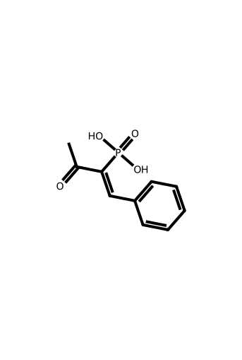 CC(=O)C(=Cc1ccccc1)P(=O)(O)O